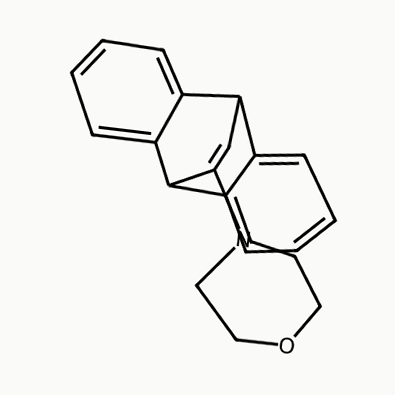 C1=C(N2CCOCC2)C2c3ccccc3C1c1ccccc12